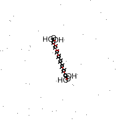 Cc1cc(-c2cc(C)c(-c3cc(C)c(-c4cc(C)c(-c5cc(C)c(-c6cc(C)c(-c7cc(O)c(C(=O)O)cc7C)cc6C)cc5C)cc4C)cc3C)cc2C)c(C)cc1-c1ccc(C(=O)O)c(O)c1